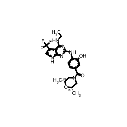 CCNc1nc(Nc2ccc(C(=O)N3C[C@@H](C)O[C@@H](C)C3)cc2O)nc2[nH]cc(C(F)(F)F)c12